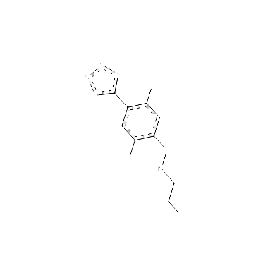 Cc1cc(SNCCO)c(F)cc1-c1nn[nH]n1